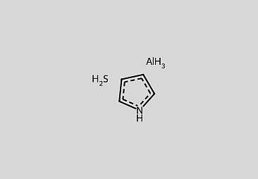 S.[AlH3].c1cc[nH]c1